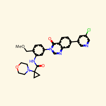 COCc1ccc(-n2cnc3cc(-c4cncc(Cl)c4)ccc3c2=O)cc1NC(=O)C1(N2CCOCC2)CC1